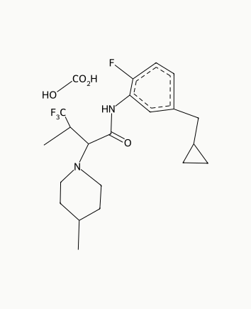 CC1CCN(C(C(=O)Nc2cc(CC3CC3)ccc2F)C(C)C(F)(F)F)CC1.O=C(O)O